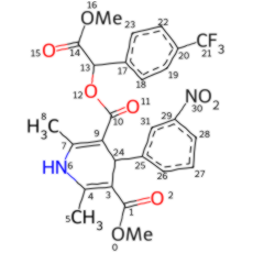 COC(=O)C1=C(C)NC(C)=C(C(=O)OC(C(=O)OC)c2ccc(C(F)(F)F)cc2)C1c1cccc([N+](=O)[O-])c1